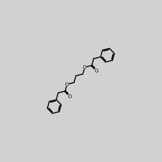 O=C(Cc1ccccc1)OCCCOC(=O)Cc1ccccc1